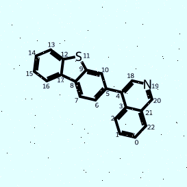 c1ccc2c(-c3ccc4c(c3)sc3ccccc34)cncc2c1